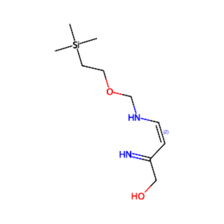 C[Si](C)(C)CCOCN/C=C\C(=N)CO